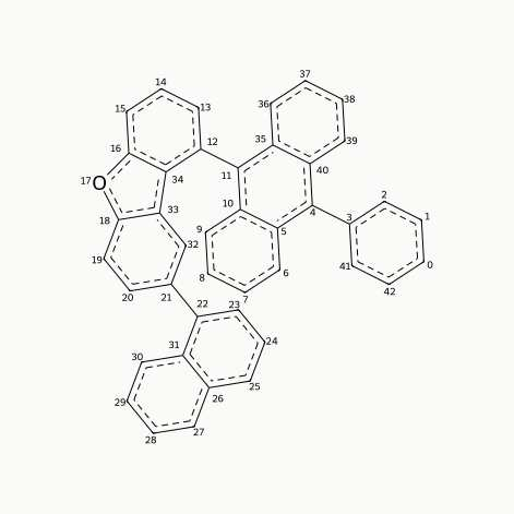 c1ccc(-c2c3ccccc3c(-c3cccc4oc5ccc(-c6cccc7ccccc67)cc5c34)c3ccccc23)cc1